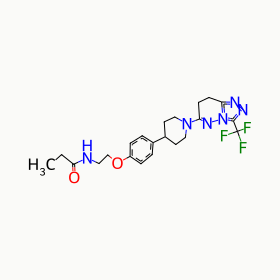 CCC(=O)NCCOc1ccc(C2CCN(C3=Nn4c(nnc4C(F)(F)F)CC3)CC2)cc1